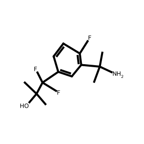 CC(C)(N)c1cc(C(F)(F)C(C)(C)O)ccc1F